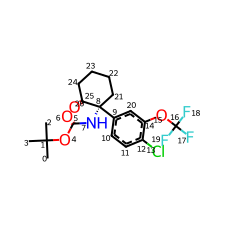 CC(C)(C)OC(=O)N[C@@]1(c2ccc(Cl)c(OC(F)(F)F)c2)CCCCC1=O